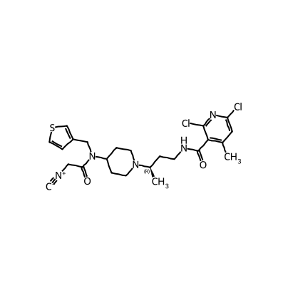 [C-]#[N+]CC(=O)N(Cc1ccsc1)C1CCN([C@H](C)CCNC(=O)c2c(C)cc(Cl)nc2Cl)CC1